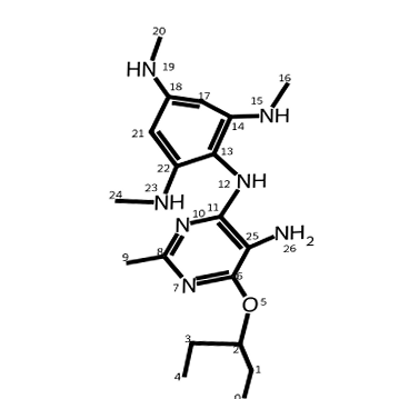 CCC(CC)Oc1nc(C)nc(Nc2c(NC)cc(NC)cc2NC)c1N